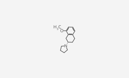 COc1cccc2c1C[C@@H](N1CCCC1)CC2